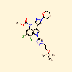 CC(C)(C)OC(=O)Nc1cc(Cl)c(Cl)c2c1c(-c1cnn(C3CCCCO3)c1)cn2-c1cn(CCO[Si](C)(C)C(C)(C)C)nn1